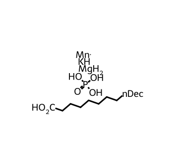 CCCCCCCCCCCCCCCCCC(=O)O.O=P(O)(O)O.[KH].[MgH2].[Mn]